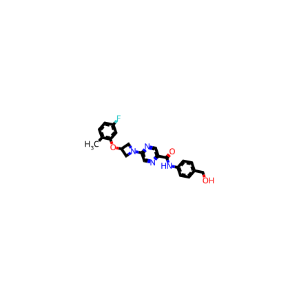 Cc1ccc(F)cc1OC1CN(c2cnc(C(=O)Nc3ccc(CO)cc3)cn2)C1